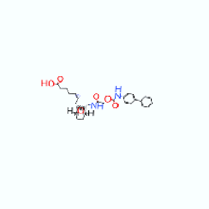 O=C(O)CCC/C=C\C[C@@H]1[C@H](CNC(=O)COC(=O)Nc2ccc(-c3ccccc3)cc2)[C@@H]2CC[C@H]1O2